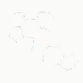 CN1C(=O)[C@@H](NC(=O)c2cnn3cccc(-c4ccccc4)c23)COc2ccccc21